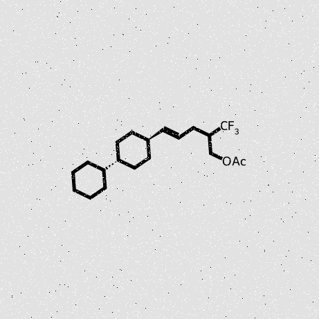 CC(=O)OCC(CC=C[C@H]1CC[C@H](C2CCCCC2)CC1)C(F)(F)F